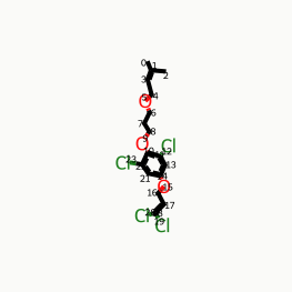 CC(C)=CCOCCCOc1c(Cl)cc(OCC=C(Cl)Cl)cc1Cl